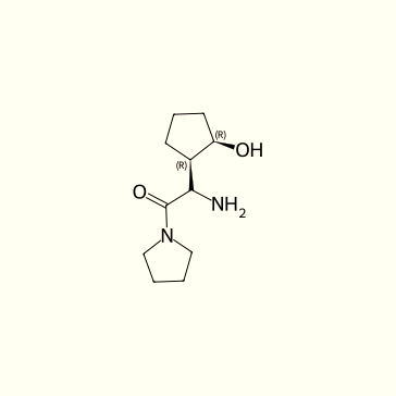 NC(C(=O)N1CCCC1)[C@H]1CCC[C@H]1O